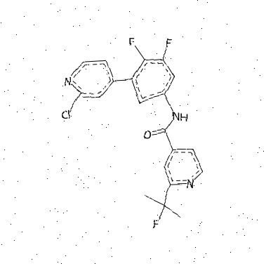 CC(C)(F)c1cc(C(=O)Nc2cc(F)c(F)c(-c3ccnc(Cl)c3)c2)ccn1